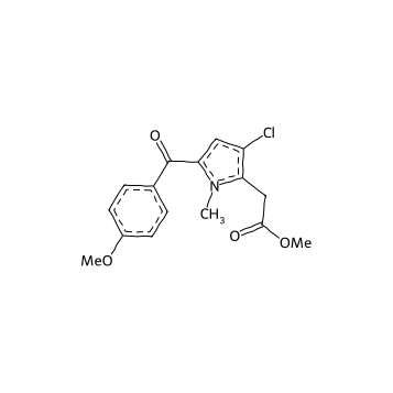 COC(=O)Cc1c(Cl)cc(C(=O)c2ccc(OC)cc2)n1C